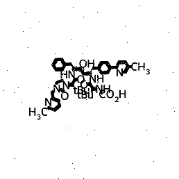 Cc1ccc(-c2ccc(C[C@@H](C[C@H](O)[C@H](Cc3ccccc3)NC(=O)[C@@H](N3CCN(Cc4cccc(C)n4)C3=O)C(C)(C)C)NC(=O)[C@@H](NC(=O)O)C(C)(C)C)cc2)nc1